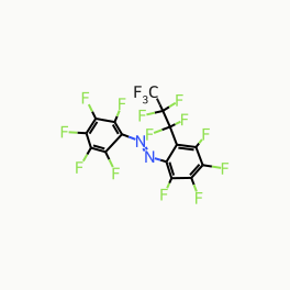 Fc1c(F)c(F)c(N=Nc2c(F)c(F)c(F)c(F)c2C(F)(F)C(F)(F)C(F)(F)F)c(F)c1F